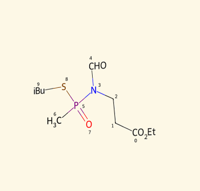 CCOC(=O)CCN(C=O)P(C)(=O)SC(C)CC